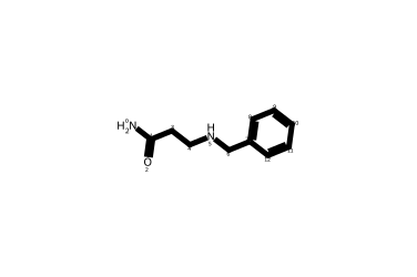 NC(=O)CCNCc1ccccc1